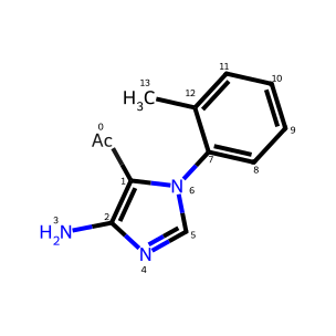 CC(=O)c1c(N)ncn1-c1ccccc1C